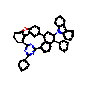 C1=c2oc3ccc(-c4ccc(-c5ccccc5)c(-n5c6ccccc6c6ccccc65)c4)cc3c2=C(c2nc(-c3ccccc3)nc(-c3ccccc3)n2)CC1